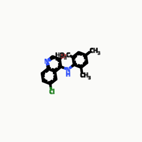 Cc1cc(C)c(Nc2c(Br)cnc3ccc(Cl)cc23)c(C(=O)O)c1